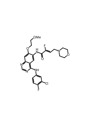 COCCOc1cc2ncnc(Nc3ccc(F)c(Cl)c3)c2cc1NC(=O)C(F)=CCN1CCOCC1